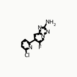 Nc1nc2cc(-c3cccc(Cl)n3)c(F)cn2n1